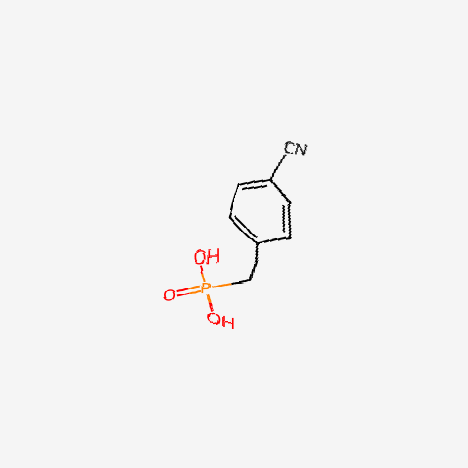 N#Cc1ccc(CP(=O)(O)O)cc1